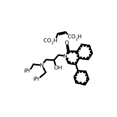 CC(C)CN(CC(C)C)CC(O)Cn1cc(-c2ccccc2)c2ccccc2c1=O.O=C(O)/C=C\C(=O)O